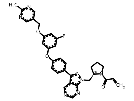 C=CC(=O)N1CCC[C@@H]1Cn1nc(-c2ccc(Oc3cc(F)cc(OCc4cnc(C)nc4)c3)cc2)c2cncnc21